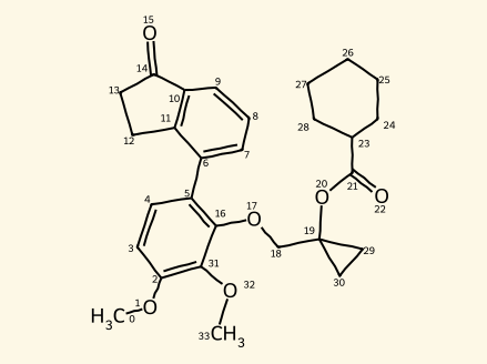 COc1ccc(-c2cccc3c2CCC3=O)c(OCC2(OC(=O)C3CCCCC3)CC2)c1OC